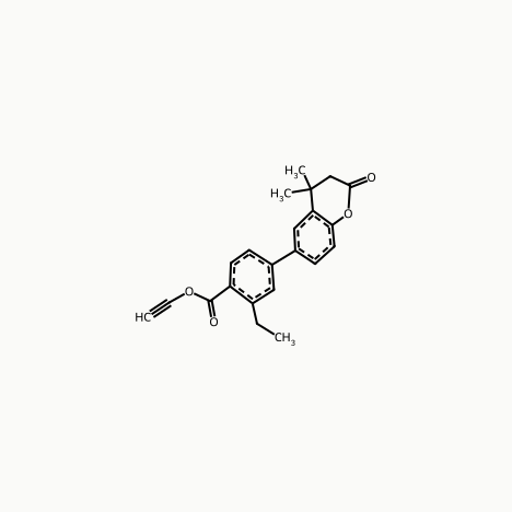 C#COC(=O)c1ccc(-c2ccc3c(c2)C(C)(C)CC(=O)O3)cc1CC